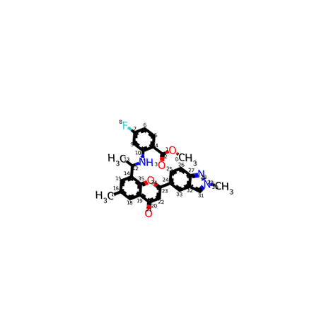 COC(=O)c1ccc(F)cc1NC(C)c1cc(C)cc2c(=O)cc(-c3ccc4nn(C)cc4c3)oc12